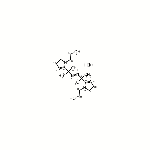 CC(C)(N=NC(C)(C)C1=NCCN1CCO)C1=NCCN1CCO.Cl